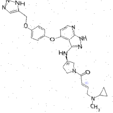 CN(C/C=C/C(=O)N1CC[C@@H](Nc2n[nH]c3nccc(Oc4ccc(OCc5cnn[nH]5)cc4)c23)C1)C1CC1